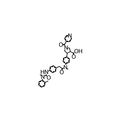 Cc1ccccc1N(C)C(=O)Nc1ccc(CC(=O)N(C)c2ccc(C3CN(C(=O)c4ccncc4)CC3C(=O)O)cc2)cc1